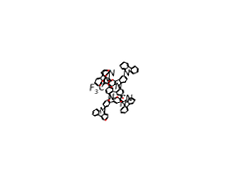 N#Cc1ccc(-n2c3ccc(-n4c5ccccc5c5ccccc54)cc3c3cc(-n4c5ccccc5c5ccccc54)ccc32)c(-c2cc(-c3ccc(C#N)cc3C(F)(F)F)ccc2-n2c3ccc(-n4c5ccccc5c5ccccc54)cc3c3cc(-n4c5ccccc5c5ccccc54)ccc32)c1